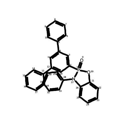 O=P1(c2cc(-c3ccccc3)cc(-c3ccccc3)c2)Oc2ccccc2N1c1ccccc1